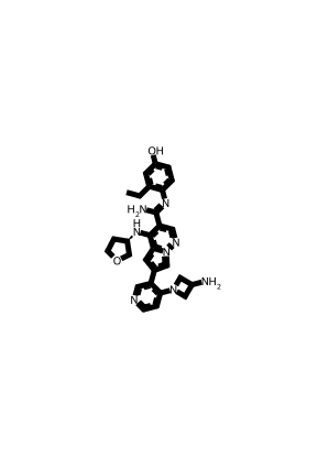 CCc1cc(O)ccc1/N=C(\N)c1cnn2cc(-c3cnccc3N3CC(N)C3)cc2c1N[C@H]1CCOC1